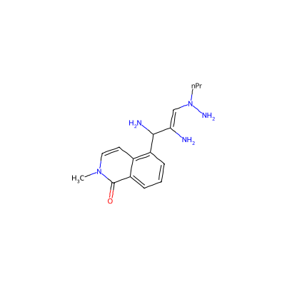 CCCN(N)/C=C(\N)C(N)c1cccc2c(=O)n(C)ccc12